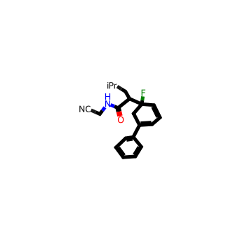 CC(C)CC(C(=O)NCC#N)C1(F)C=CC=C(c2ccccc2)C1